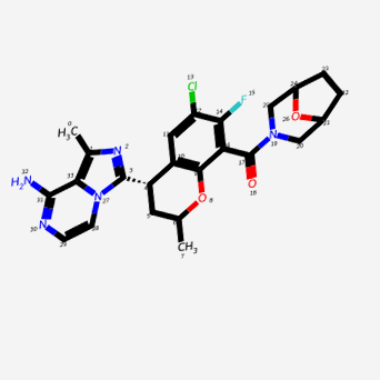 Cc1nc([C@H]2CC(C)Oc3c2cc(Cl)c(F)c3C(=O)N2CC3CCC(C2)O3)n2ccnc(N)c12